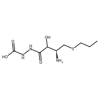 CCCSC[C@@H](N)C(O)C(=O)NNC(=O)O